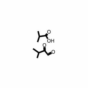 CC(C)C(=O)C=O.CC(C)C(=O)O